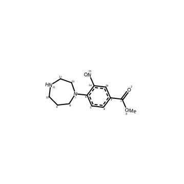 COC(=O)c1ccc(N2CCCNCC2)c(N=O)c1